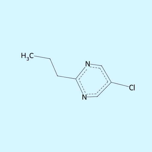 CCCc1ncc(Cl)cn1